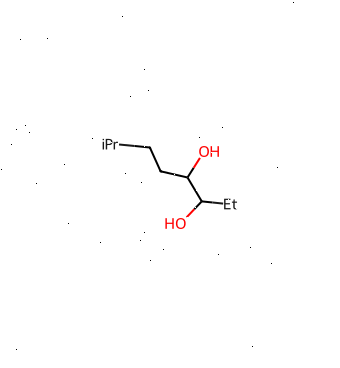 CCC(O)C(O)CCC(C)C